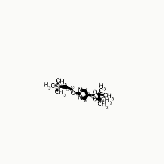 CC1(C)OB(c2cnc(OCC#C[Si](C)(C)C)nc2)OC1(C)C